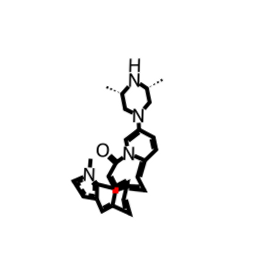 C[C@@H]1CN(C2=CN3C(=O)/C=C(C4=C\c5ccn(C)c5\C=C\C=C\4)\C=C\C=C\3C=C2)C[C@H](C)N1